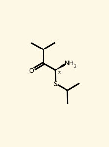 CC(C)S[C@H](N)C(=O)C(C)C